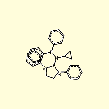 c1ccc([C@H]2CC[C@H](c3ccccc3)P2N(C2CC2)P(c2ccccc2)c2ccccc2)cc1